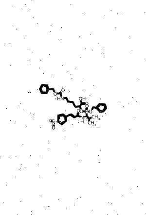 CC(C)[C@@H](NC(=O)C=Cc1ccc([N+](=O)[O-])cc1)P(=O)(OCc1ccccc1)OC(CCCCNC(=O)OCc1ccccc1)C(=O)O